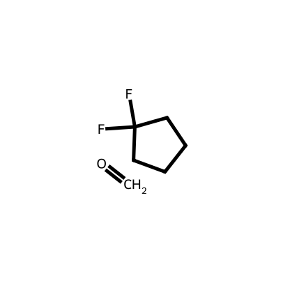 C=O.FC1(F)CCCC1